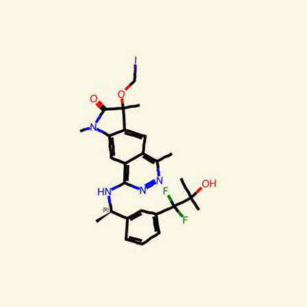 Cc1nnc(N[C@H](C)c2cccc(C(F)(F)C(C)(C)O)c2)c2cc3c(cc12)C(C)(OCI)C(=O)N3C